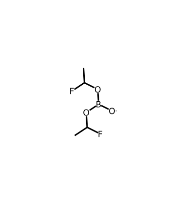 CC(F)OB([O])OC(C)F